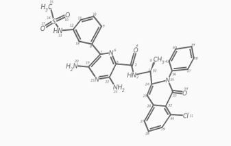 C[C@H](NC(=O)c1nc(-c2cccc(NS(C)(=O)=O)c2)c(N)nc1N)c1cc2cccc(Cl)c2c(=O)n1-c1ccccc1